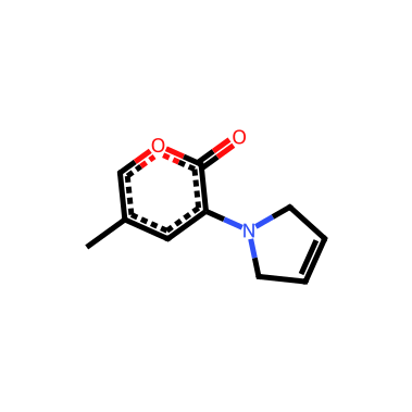 Cc1coc(=O)c(N2CC=CC2)c1